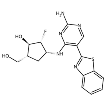 Nc1ncc(-c2nc3ccccc3s2)c(N[C@@H]2C[C@H](CO)[C@@H](O)[C@@H]2F)n1